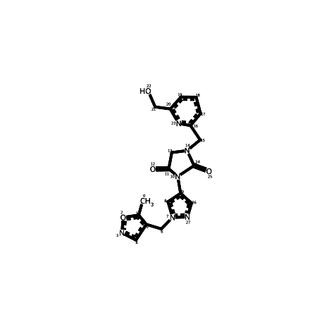 Cc1oncc1Cn1cc(N2C(=O)CN(Cc3cccc(CO)n3)C2=O)cn1